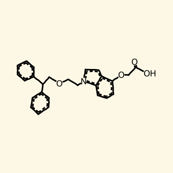 O=C(O)COc1cccc2c1ccn2CCOCC(c1ccccc1)c1ccccc1